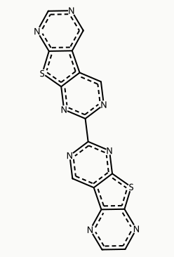 c1ncc2c(n1)sc1nc(-c3ncc4c(n3)sc3nccnc34)ncc12